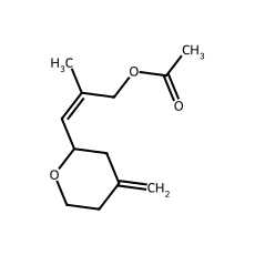 C=C1CCOC(C=C(C)COC(C)=O)C1